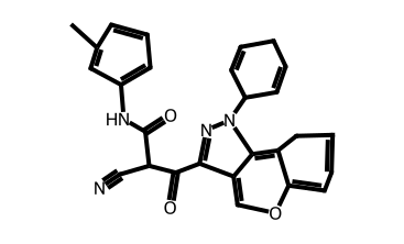 Cc1cccc(NC(=O)C(C#N)C(=O)c2nn(C3C=CCC=C3)c3c2=COC2=CC=CCC=32)c1